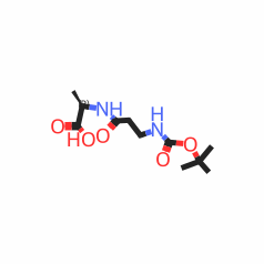 C[C@@H](NC(=O)CCNC(=O)OC(C)(C)C)C(=O)O